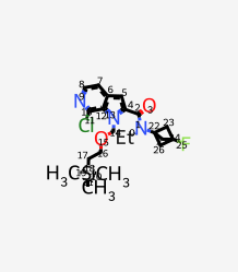 CCN(C(=O)c1cc2ccnc(Cl)c2n1COCC[Si](C)(C)C)C12CC(F)(C1)C2